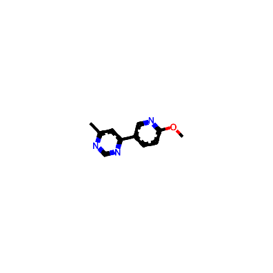 COc1ccc(-c2cc(C)ncn2)cn1